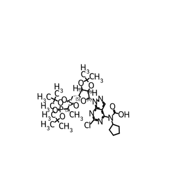 C[C@@H](P(=O)(OC(C)(C)C)OC(C)(C)C)S(=O)(=O)C[C@H]1O[C@@H](n2ncc3c(N(C(=O)O)C4CCCC4)nc(Cl)nc32)[C@@H]2OC(C)(C)O[C@@H]21